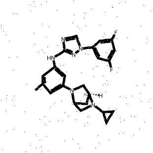 Cc1cc(Nc2ncn(-c3cc(F)cc(F)c3)n2)cc(N2C[C@@H]3CC2CN3C2CC2)c1